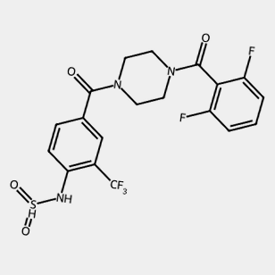 O=C(c1ccc(N[SH](=O)=O)c(C(F)(F)F)c1)N1CCN(C(=O)c2c(F)cccc2F)CC1